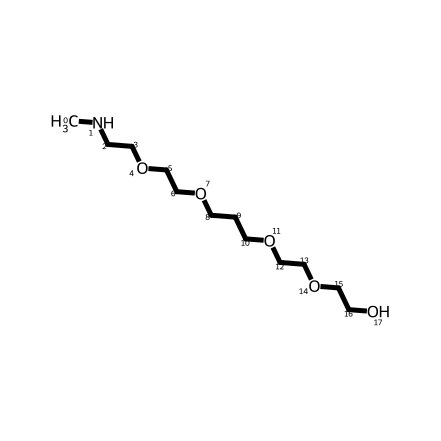 CNCCOCCOCCCOCCOCCO